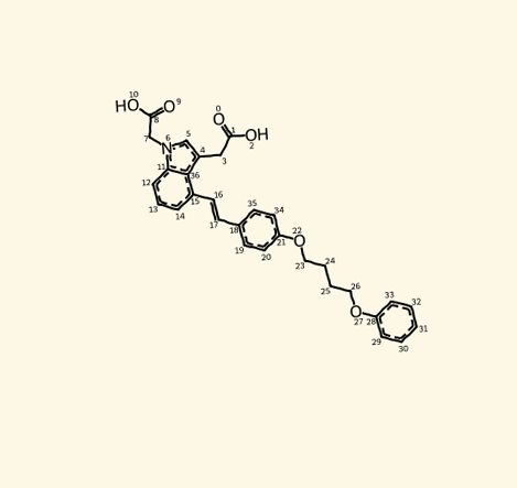 O=C(O)Cc1cn(CC(=O)O)c2cccc(/C=C/c3ccc(OCCCCOc4ccccc4)cc3)c12